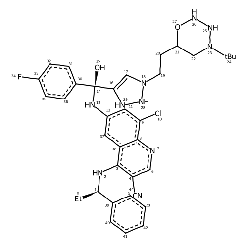 CC[C@@H](Nc1c(C#N)cnc2c(Cl)cc(N[C@@](O)(C3=CN(CCC4CN(C(C)(C)C)NNO4)NN3)c3ccc(F)cc3)cc12)c1ccccc1